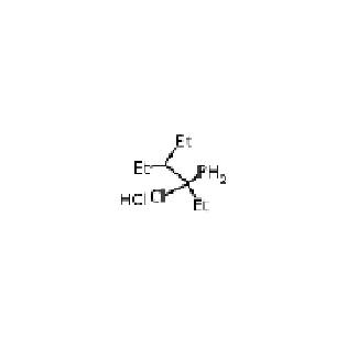 CCC(CC)C(P)(Cl)CC.Cl